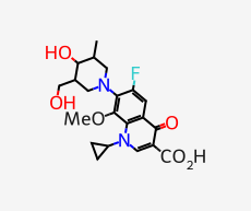 COc1c(N2CC(C)C(O)C(CO)C2)c(F)cc2c(=O)c(C(=O)O)cn(C3CC3)c12